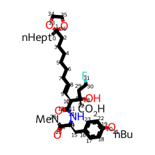 CCCCCCCC1(CCCCCCC=C[C@H](C(=O)N[C@@H](Cc2ccc(OCCCC)cc2)C(=O)NC)[C@@](O)(CCF)C(=O)O)OCCO1